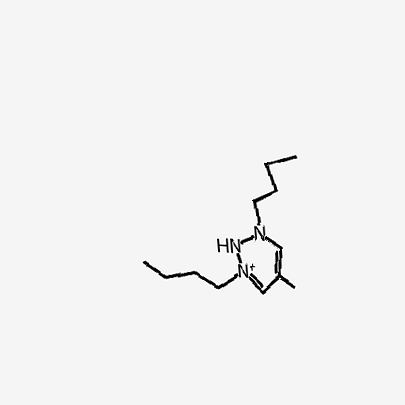 CCCCN1C=C(C)C=[N+](CCCC)N1